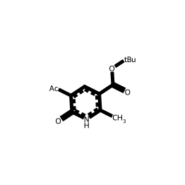 CC(=O)c1cc(C(=O)OC(C)(C)C)c(C)[nH]c1=O